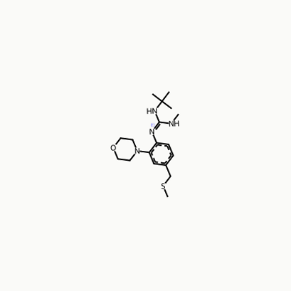 CN/C(=N\c1ccc(CSC)cc1N1CCOCC1)NC(C)(C)C